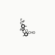 Cc1ccc(C=O)c(Cl)c1Cc1cc2c(C)cc(OC(F)F)cc2n1C